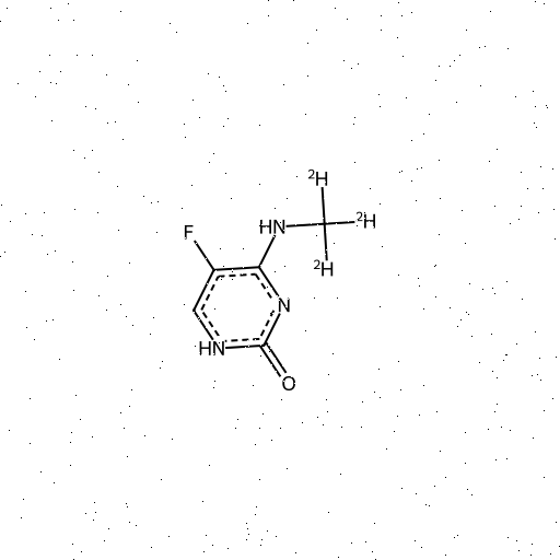 [2H]C([2H])([2H])Nc1nc(=O)[nH]cc1F